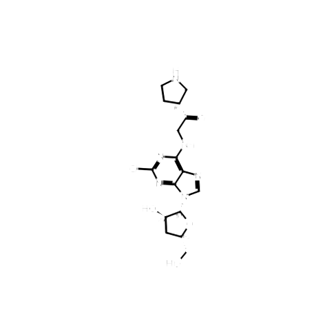 O=C(CNc1nc(Cl)nc2c1ncn2[C@@H]1O[C@H](CO)C[C@H]1O)[C@@H]1CCNC1